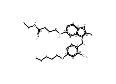 CCCCCOc1ccc(Cn2c(C)nc3ccc(OCCCC(=O)OCC)cc32)c(Cl)c1